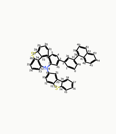 c1cc(-c2cccc(N(c3ccc4sc5ccccc5c4c3)c3cccc4sc5ccccc5c34)c2)cc(-c2cccc3ccccc23)c1